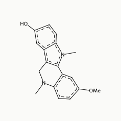 COc1ccc2c(c1)-c1c(c3cc(O)ccc3n1C)CN2C